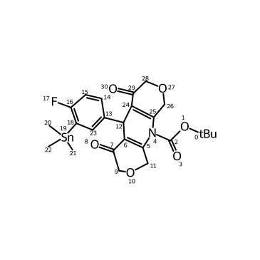 CC(C)(C)OC(=O)N1C2=C(C(=O)COC2)C(c2ccc(F)[c]([Sn]([CH3])([CH3])[CH3])c2)C2=C1COCC2=O